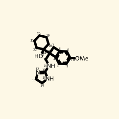 COc1ccc2c(c1)CC2(CNC1=NCCN1)C1(O)CCCCC1